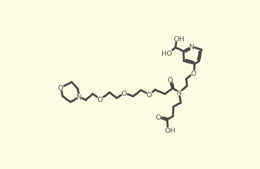 O=C(O)CCCN(CCOc1ccnc(C(O)O)c1)C(=O)CCOCCOCCOCCN1CCOCC1